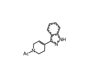 CC(=O)N1CC=C(c2n[nH]c3ccccc23)CC1